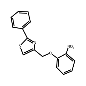 O=[N+]([O-])c1ccccc1OCc1csc(-c2ccccc2)n1